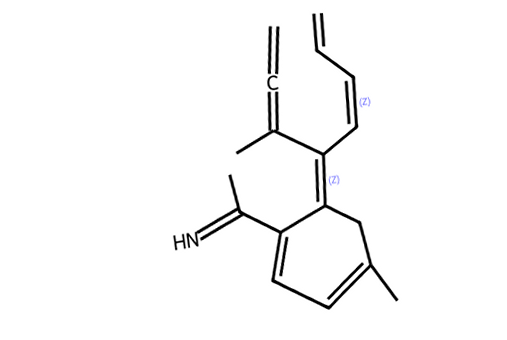 C=C=C(C)C(/C=C\C=C)=C1/CC(C)=CC=C1C(C)=N